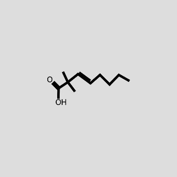 CCCC/C=C/C(C)(C)C(=O)O